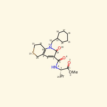 COC(=O)[C@@H](NC(=O)c1cc2c(n(CC3CCCCC3)c1=O)CCSC2)C(C)C